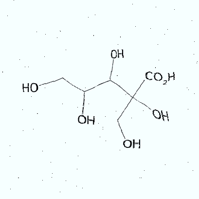 O=C(O)C(O)(CO)C(O)C(O)CO